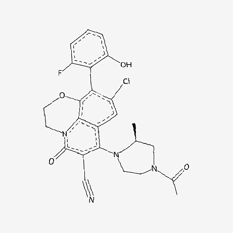 CC(=O)N1CCN(c2c(C#N)c(=O)n3c4c(c(-c5c(O)cccc5F)c(Cl)cc24)OCC3)[C@@H](C)C1